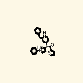 O=C(c1cccs1)N(C1CCNC(Cc2ccccc2)C1)C1C=CN(c2ccccc2)N1